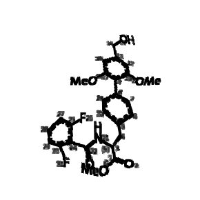 COC(=O)[C@H](Cc1ccc(-c2c(OC)cc(CO)cc2OC)cc1)NC(=O)c1c(F)cccc1F